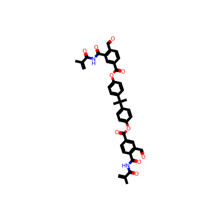 C=C(C)C(=O)NC(=O)c1ccc(C(=O)Oc2ccc(C(C)(C)c3ccc(OC(=O)c4ccc(C=O)c(C(=O)NC(=O)C(=C)C)c4)cc3)cc2)cc1C=O